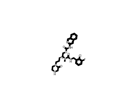 CN(C(=O)NCc1cccc(F)c1Cl)[C@@H](CCCN1CCNCC1=O)COC(=O)Nc1cc2ccccc2cn1